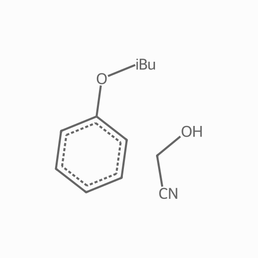 CCC(C)Oc1ccccc1.N#CCO